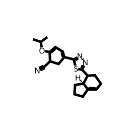 CC(C)OC1=CC=C(c2nnc(C3CCC=C4CCC[C@H]43)s2)CC1C#N